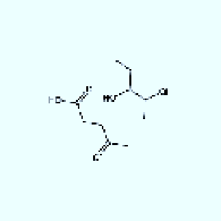 CC(=O)CCC(=O)O.CCC(O)C(C)O